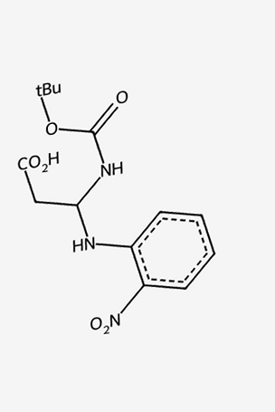 CC(C)(C)OC(=O)NC(CC(=O)O)Nc1ccccc1[N+](=O)[O-]